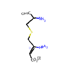 CCOC(=O)/C=C(\N)CSCC(N)C=O